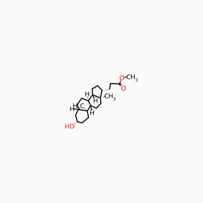 COC(=O)CC[C@H]1CC[C@H]2[C@@H]3CC[C@H]4C[C@@H](O)CC[C@]4(C)[C@H]3CC[C@]12C